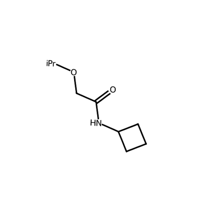 CC(C)OCC(=O)NC1CCC1